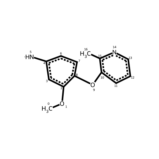 COc1cc([NH])ccc1Oc1cccnc1C